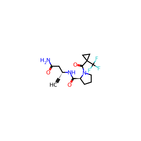 C#C[C@H](CC(N)=O)NC(=O)[C@@H]1CCCN1C(=O)C1(C(F)(F)F)CC1